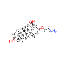 C[C@]12CC[C@H](OCCN)C[C@@H]1[C@@H](O)C[C@@H]1[C@@H]2CC[C@]2(C)[C@@H](O)CC[C@@H]12